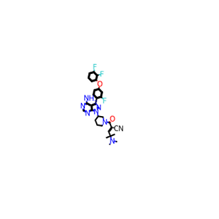 CN(C)C(C)(C)C=C(C#N)C(=O)N1CCCC(n2nc(-c3ccc(Oc4cccc(F)c4F)cc3F)c3c(N)ncnc32)C1